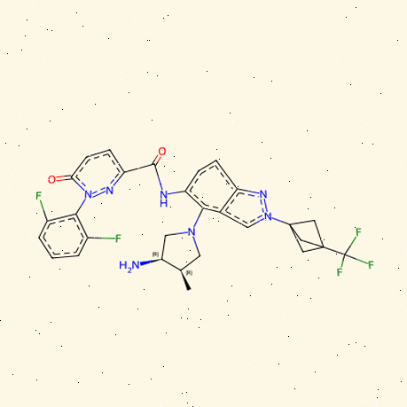 C[C@@H]1CN(c2c(NC(=O)c3ccc(=O)n(-c4c(F)cccc4F)n3)ccc3nn(C45CC(C(F)(F)F)(C4)C5)cc23)C[C@@H]1N